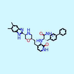 Cc1cc2nc([C@@H]3CO[C@H](CCc4cc[nH]c(=O)c4N[C@@H](Cc4ccc(-c5ccccc5)cc4)C(N)=O)CN3)[nH]c2cc1C